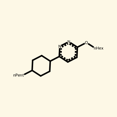 CCCCCCOc1ccc(C2CCC(CCCCC)CC2)nn1